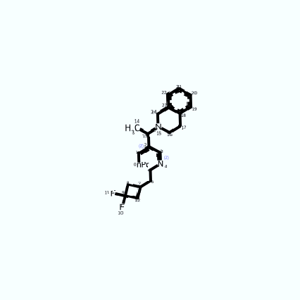 CCC/C=C(\C=N/CCC1CC(F)(F)C1)C(C)N1CCc2ccccc2C1